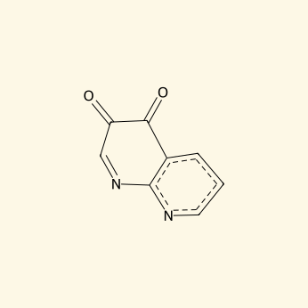 O=C1C=Nc2ncccc2C1=O